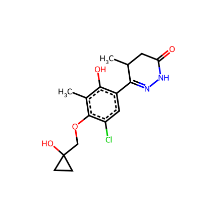 Cc1c(O)c(C2=NNC(=O)CC2C)cc(Cl)c1OCC1(O)CC1